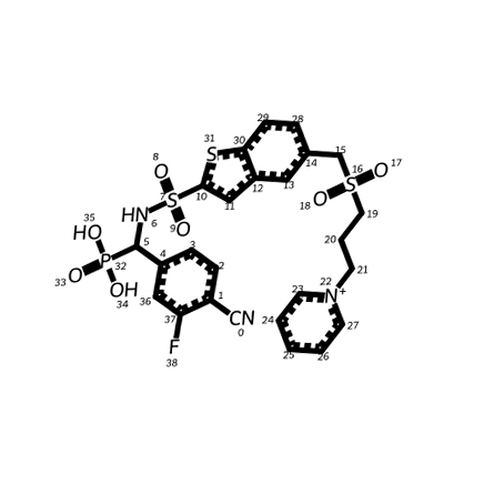 N#Cc1ccc(C(NS(=O)(=O)c2cc3cc(CS(=O)(=O)CCC[n+]4ccccc4)ccc3s2)P(=O)(O)O)cc1F